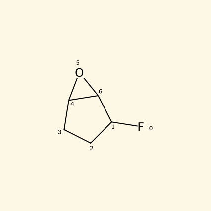 FC1CCC2OC12